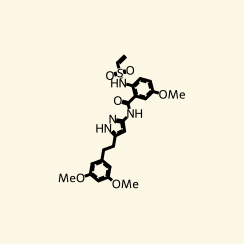 C=CS(=O)(=O)Nc1ccc(OC)cc1C(=O)Nc1cc(CCc2cc(OC)cc(OC)c2)[nH]n1